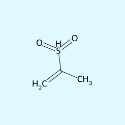 C=C(C)[SH](=O)=O